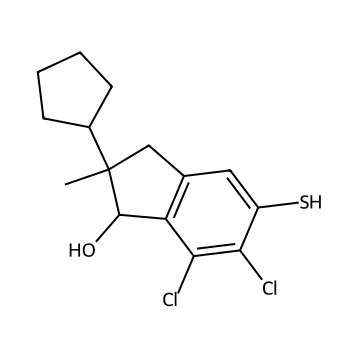 CC1(C2CCCC2)Cc2cc(S)c(Cl)c(Cl)c2C1O